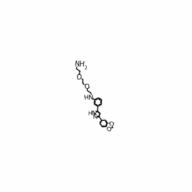 NCCOCCOCCNc1cccc(-c2cc(-c3ccc4c(c3)OCO4)n[nH]2)c1